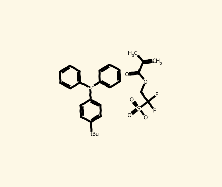 C=C(C)C(=O)OCC(F)(F)S(=O)(=O)[O-].CC(C)(C)c1ccc([S+](c2ccccc2)c2ccccc2)cc1